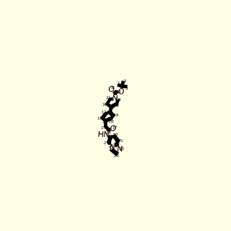 CC(C)(C)OC(=O)N1CC=C(c2ccc(CC(=O)Nc3ccc4nccn4c3)cc2)CC1